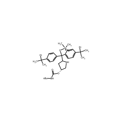 CCCCNC(=O)O[C@H]1CNC(C(O[Si](C)(C)C)(c2ccc(C(C)(C)CC)cc2)c2ccc(C(C)(C)CC)cc2)C1